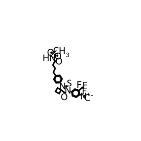 [C-]#[N+]c1ccc(N2C(=O)C3(CCC3)N(c3ccc(CCCC(=O)NS(C)(=O)=O)cc3)C2=S)cc1C(F)(F)F